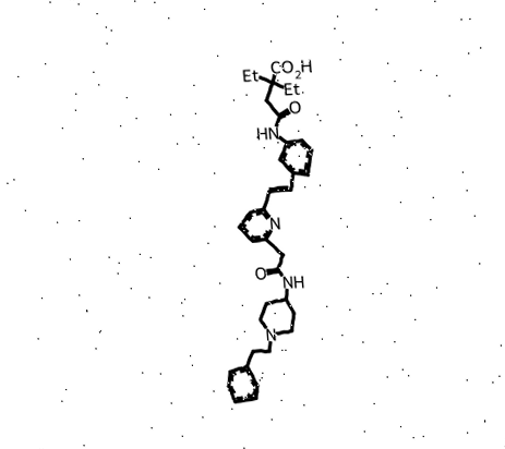 CCC(CC)(CC(=O)Nc1cccc(C=Cc2cccc(CC(=O)NC3CCN(CCc4ccccc4)CC3)n2)c1)C(=O)O